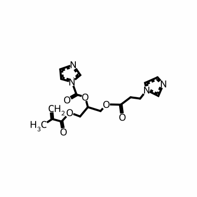 C=C(C)C(=O)OCC(COC(=O)CCn1ccnc1)OC(=O)n1ccnc1